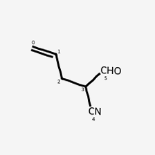 C=CCC(C#N)C=O